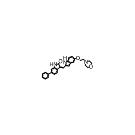 O=C1Nc2cc(-c3ccccc3)ccc2C1=Cc1cc2cc(OCCN3CCOCC3)ccc2[nH]1